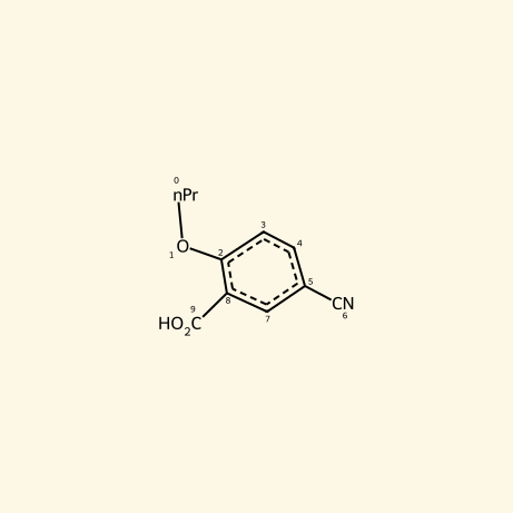 CCCOc1ccc(C#N)cc1C(=O)O